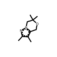 Cc1nn2c(c1C)COC(C)(C)C2